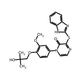 COc1cc(-n2ccnc(Sc3nc4ccccc4[nH]3)c2=O)ccc1OCC(C)(C)O